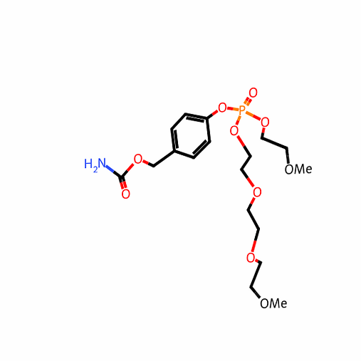 COCCOCCOCCOP(=O)(OCCOC)Oc1ccc(COC(N)=O)cc1